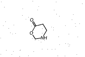 O=C1CCN[CH]O1